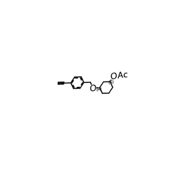 C#Cc1ccc(CO[C@@H]2CCC[C@H](OC(C)=O)C2)cc1